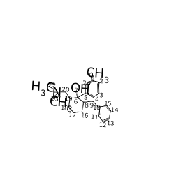 Cc1cccc(C2(O)C(Cc3ccccc3)CCCC2CN(C)C)c1